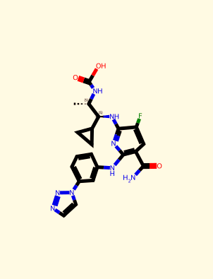 C[C@H](NC(=O)O)[C@@H](Nc1nc(Nc2cccc(-n3ccnn3)c2)c(C(N)=O)cc1F)C1CC1